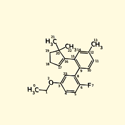 CCOc1ccc(F)c(-c2ccc(C)cc2C2=CCCC2(C)C)c1